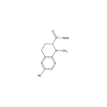 CNC(=O)C1CCc2cc(C#N)ccc2N1C